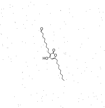 CCCCCCCCCc1cc(O)c(CCCCCCCCC=O)c(=O)o1